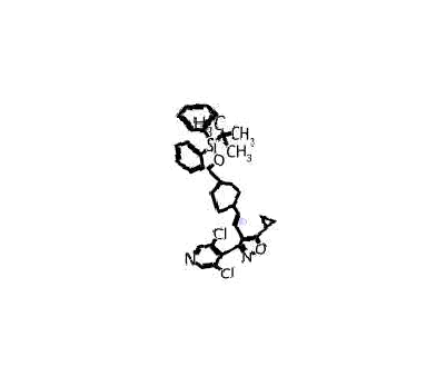 CC(C)(C)[Si](OCC1CCC(/C=C/c2c(-c3c(Cl)cncc3Cl)noc2C2CC2)CC1)(c1ccccc1)c1ccccc1